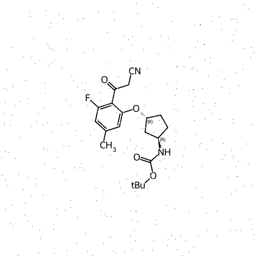 Cc1cc(F)c(C(=O)CC#N)c(O[C@@H]2CC[C@@H](NC(=O)OC(C)(C)C)C2)c1